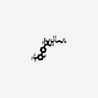 CN(C)CCCNc1ncc2c(-c3[c]cc(-c4cc(C(F)(F)F)ccc4F)cc3)nn(C)c2n1